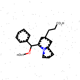 CCCCCCCCOC(c1ccccc1)c1cc(CCC(=O)O)cc2cccn12